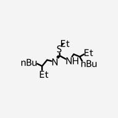 CCCCC(CC)CN=C(NCC(CC)CCCC)SCC